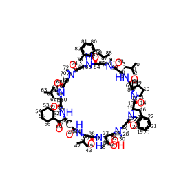 CC(C)C[C@@H]1NC(=O)[C@@H]2CCCN2C(=O)C(Cc2ccccc2)N(C)C(=O)[C@H](C)N(C)C(=O)[C@H]([C@@H](C)O)NC(=O)[C@@H](C(C)C)NC(=O)C[C@@H](C(=O)C2CCCCC2)NC(=O)[C@H](CC(C)C)N(C)C(=O)[C@H](C)N(C)C(=O)[C@H](Cc2ccccc2)NC(=O)[C@H](C(C)C)N(C)C1=O